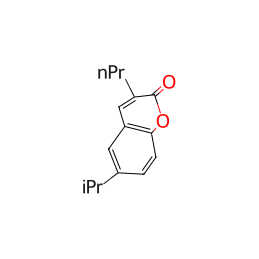 CCCc1cc2cc(C(C)C)ccc2oc1=O